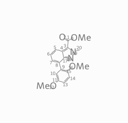 COC(=O)c1c2cccc(-c3cc(OC)ccc3OC)c2nn1C